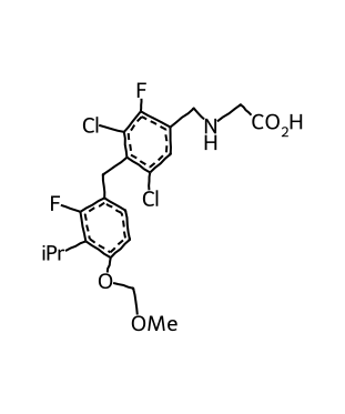 COCOc1ccc(Cc2c(Cl)cc(CNCC(=O)O)c(F)c2Cl)c(F)c1C(C)C